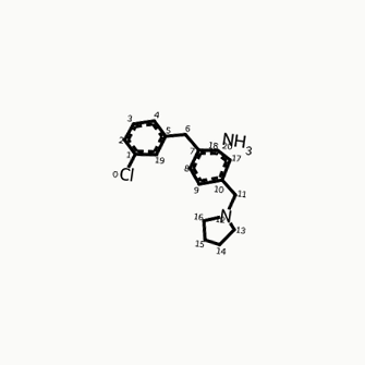 Clc1cccc(Cc2ccc(CN3CCCC3)cc2)c1.N